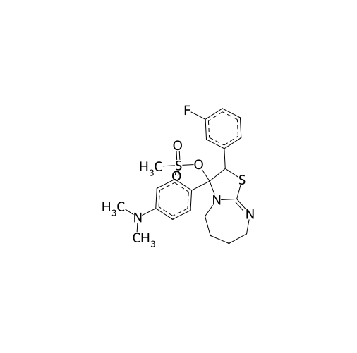 CN(C)c1ccc(C2(OS(C)(=O)=O)C(c3cccc(F)c3)SC3=NCCCCN32)cc1